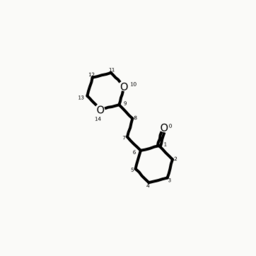 O=C1CCCCC1CCC1OCCCO1